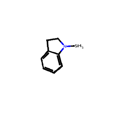 [SiH3]N1CCc2ccccc21